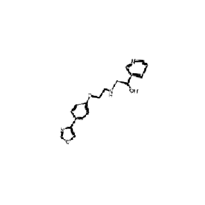 OC(CNCCOc1ccc(-c2cocn2)cc1)c1cccnc1